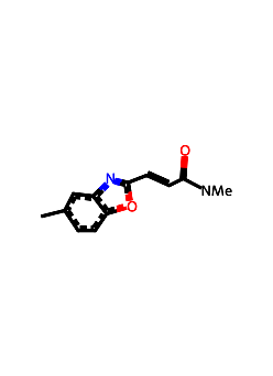 CNC(=O)/C=C/c1nc2cc(C)ccc2o1